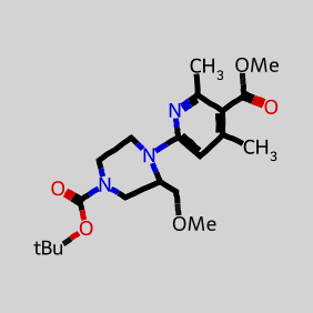 COCC1CN(C(=O)OC(C)(C)C)CCN1c1cc(C)c(C(=O)OC)c(C)n1